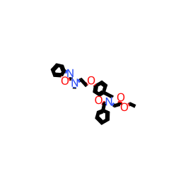 CCOC(=O)CN(Cc1ccc(OCCN(C)c2nc3ccccc3o2)cc1)C(=O)c1ccccc1